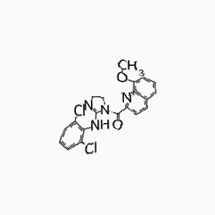 COc1cccc2ccc(C(=O)N3CCN=C3Nc3c(Cl)cccc3Cl)nc12